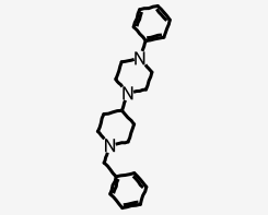 c1ccc(CN2CCC(N3CCN(c4ccccc4)CC3)CC2)cc1